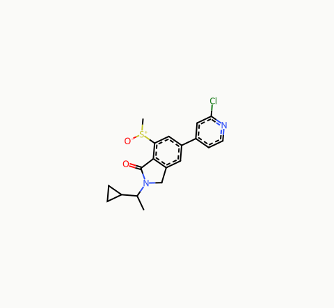 CC(C1CC1)N1Cc2cc(-c3ccnc(Cl)c3)cc([S+](C)[O-])c2C1=O